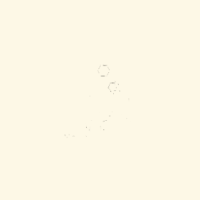 CCN(C)C(=O)[C@@H](S[C@@H]1O[C@H](COC(C)=O)[C@H](OC(C)=O)[C@H](n2cc(-c3cc(F)c(F)c(F)c3)nn2)[C@H]1OC(C)=O)C1(O)CN(C(=O)OC)C1